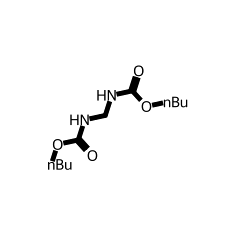 CCCCOC(=O)NCNC(=O)OCCCC